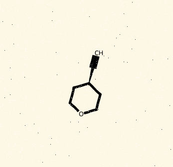 C#C[C@H]1C[CH]OCC1